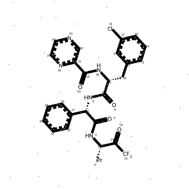 CC(C)[C@H](NC(=O)[C@@H](NC(=O)[C@@H](Cc1cccc(Cl)c1)NC(=O)c1cnccn1)c1ccccc1)C(=O)C(F)(F)F